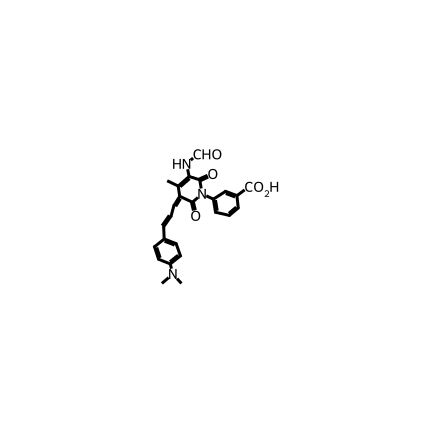 CC1=C(NC=O)C(=O)N(c2cccc(C(=O)O)c2)C(=O)/C1=C\C=C\c1ccc(N(C)C)cc1